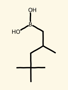 CC(CB(O)O)CC(C)(C)C